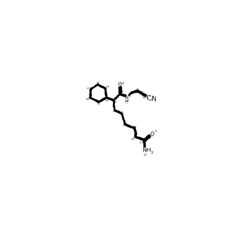 N#CCNC(=O)C(CCCCCC(N)=O)C1CCCCC1